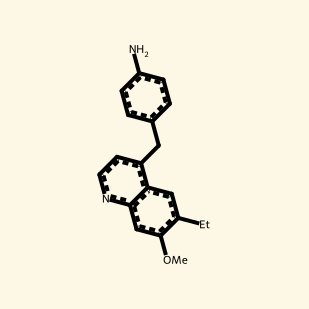 CCc1cc2c(Cc3ccc(N)cc3)ccnc2cc1OC